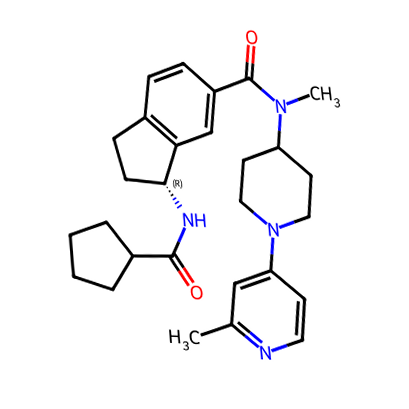 Cc1cc(N2CCC(N(C)C(=O)c3ccc4c(c3)[C@H](NC(=O)C3CCCC3)CC4)CC2)ccn1